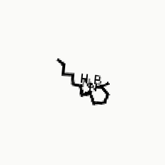 BC1(C)CCCc2cc(CCCCC)nn21